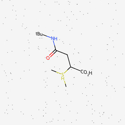 C[SH](C)C(CC(=O)NC(C)(C)C)C(=O)O